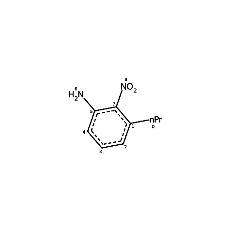 CCCc1cccc(N)c1[N+](=O)[O-]